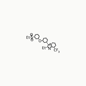 CCc1nc2c(C(F)(F)F)cccn2c1-c1cccc(Oc2cccc(S(=O)(=O)CC)c2)c1